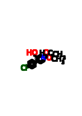 CC(C)(C)OC(=O)N1CC[C@@H](c2ccc(Cl)cc2)[C@@H](CO)C1